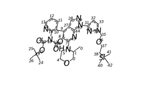 CC1COCCN1c1cc(-c2cccnc2N(C(=O)O)C(=O)OC(C)(C)C)c2cnn(-c3ccn(COCC[Si](C)(C)C)n3)c2n1